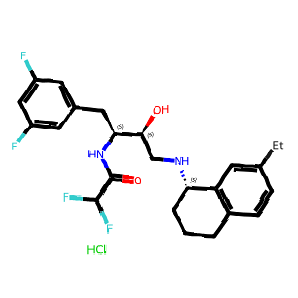 CCc1ccc2c(c1)[C@@H](NC[C@H](O)[C@H](Cc1cc(F)cc(F)c1)NC(=O)C(F)F)CCC2.Cl